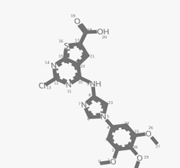 COc1cc(-n2cnc(Nc3nc(Cl)nc4sc(C(=O)O)cc34)c2)cc(OC)c1OC